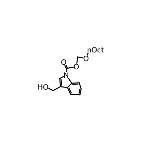 CCCCCCCCOCOC(=O)n1cc(CO)c2ccccc21